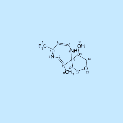 C/C1=C\N=C(\C(F)(F)F)C=CNC12CCOCC2O